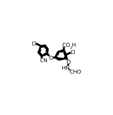 N#Cc1cc(Cl)ccc1Oc1cc(ONC=O)c(Cl)c(C(=O)O)c1